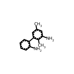 Cc1cc(N)c(C)c(-c2ccccc2N)c1